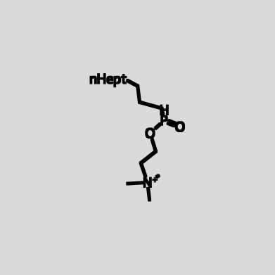 CCCCCCCCCC[PH](=O)OCC[N+](C)(C)C